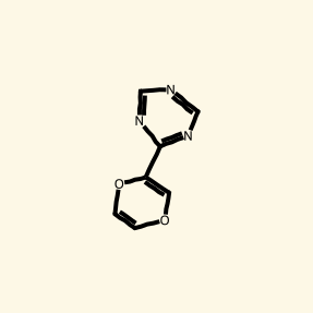 C1=COC(c2ncncn2)=CO1